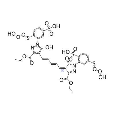 CCOC(=O)C1=NN(c2cc(SOOO)ccc2S(=O)(=O)O)C(=O)/C1=C\C=CC=Cc1c(C(=O)OCC)nn(-c2cc(S(=O)(=O)O)ccc2SOOO)c1O